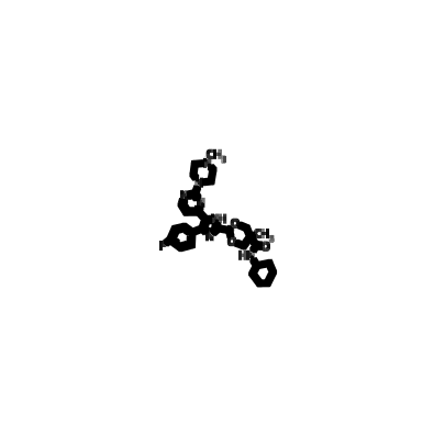 CN1CCN(c2nccc(-c3[nH]c(C4OCC(C)(C(=O)NC5CCCCC5)CO4)nc3-c3ccc(F)cc3)n2)CC1